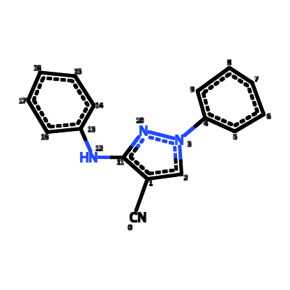 N#Cc1cn(-c2ccccc2)nc1Nc1ccccc1